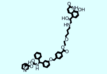 O=C(NC(c1ccccc1)c1cccc(OCc2ccc(C(=O)OCCOCCCCNC[C@H](O)c3ccc(O)c4[nH]c(=O)ccc34)cc2)c1)O[C@H]1CN2CCC1CC2